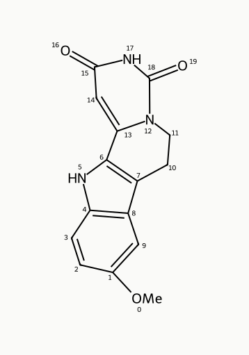 COc1ccc2[nH]c3c(c2c1)CCn1c-3cc(=O)[nH]c1=O